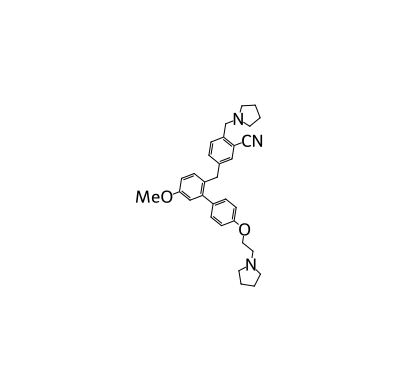 COc1ccc(Cc2ccc(CN3CCCC3)c(C#N)c2)c(-c2ccc(OCCN3CCCC3)cc2)c1